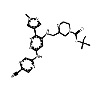 Cn1cc(-c2nnc(Nc3cnc(C#N)cn3)cc2NCC2CN(C(=O)OC(C)(C)C)CCO2)cn1